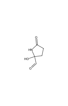 O=CC1(O)CCC(=O)N1